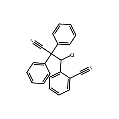 N#Cc1ccccc1C(Cl)C(C#N)(c1ccccc1)c1ccccc1